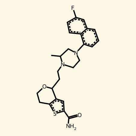 CC1CN(c2cccc3cc(F)ccc23)CCN1CCC1OCCc2sc(C(N)=O)cc21